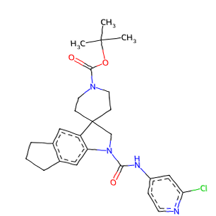 CC(C)(C)OC(=O)N1CCC2(CC1)CN(C(=O)Nc1ccnc(Cl)c1)c1cc3c(cc12)CCC3